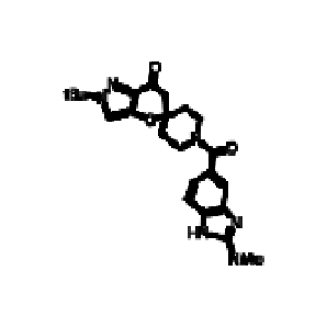 CNc1nc2cc(C(=O)N3CCC4(CC3)CC(=O)c3nn(C(C)(C)C)cc3O4)ccc2[nH]1